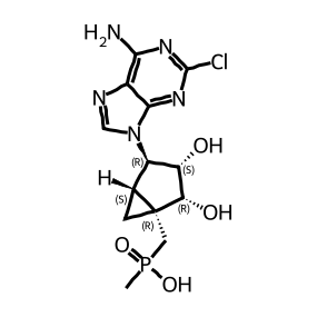 CP(=O)(O)C[C@]12C[C@@H]1[C@@H](n1cnc3c(N)nc(Cl)nc31)[C@H](O)[C@@H]2O